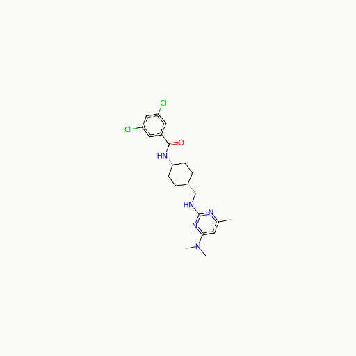 Cc1cc(N(C)C)nc(NC[C@H]2CC[C@@H](NC(=O)c3cc(Cl)cc(Cl)c3)CC2)n1